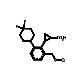 CCOCc1cccc(C2CCC(F)(F)CC2)c1C1CC1C(=O)O